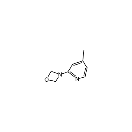 Cc1ccnc(N2COC2)c1